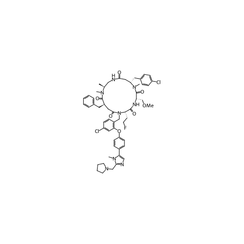 COC[C@@H]1NC(=O)[C@H](CCF)N(Cc2ccc(Cl)cc2Oc2ccc(-c3cnc(CN4CCCC4)n3C)cc2)C(=O)C[C@@H](Cc2ccccc2)C(=O)N(C)[C@@H](C)CNC(=O)C[C@H](Cc2ccc(Cl)cc2)N(C)C1=O